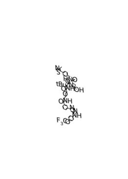 Cc1ncsc1-c1ccc(CNC(=O)[C@@H]2C[C@@H](O)CN2C(=O)[C@@H](NC(=O)COCCNC(=O)c2cccc(-c3cc(Nc4ccc(OC(F)(F)F)cc4)ncn3)c2)C(C)(C)C)cc1